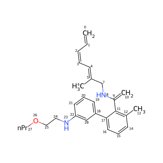 C=C/C=C\C=C(/C)CNC(=C)c1c(C)cccc1-c1cccc(NCCOCCC)c1